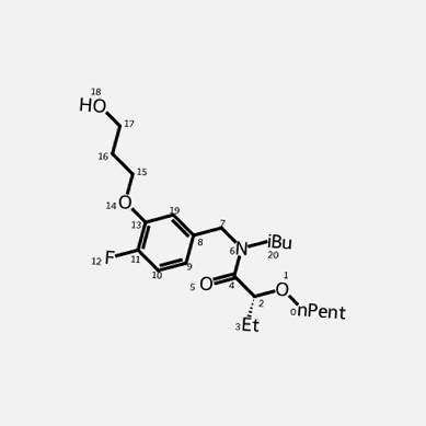 CCCCCO[C@H](CC)C(=O)N(Cc1ccc(F)c(OCCCO)c1)C(C)CC